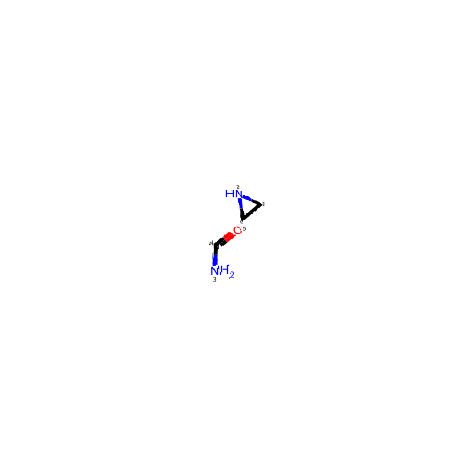 C1CN1.NC=O